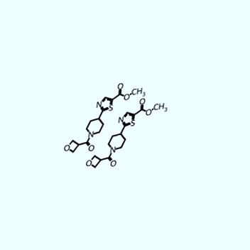 COC(=O)c1cnc(C2CCN(C(=O)C3COC3)CC2)s1.COC(=O)c1cnc(C2CCN(C(=O)C3COC3)CC2)s1